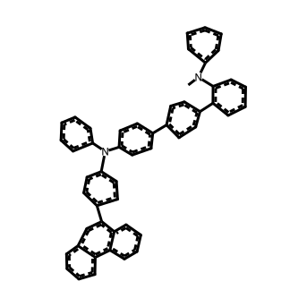 CN(c1ccccc1)c1ccccc1-c1ccc(-c2ccc(N(c3ccccc3)c3ccc(-c4cc5ccccc5c5ccccc45)cc3)cc2)cc1